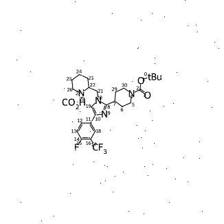 CC(C)(C)OC(=O)N1CCC(c2nc(-c3ccc(F)c(C(F)(F)F)c3)cn2CC2CCCCN2C(=O)O)CC1